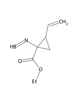 B=NC1(C(=O)OCC)CC1C=C